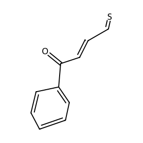 O=C(C=[C]C=S)c1ccccc1